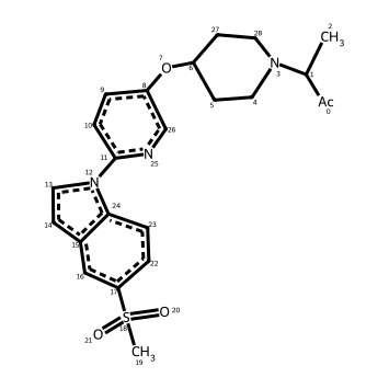 CC(=O)C(C)N1CCC(Oc2ccc(-n3ccc4cc(S(C)(=O)=O)ccc43)nc2)CC1